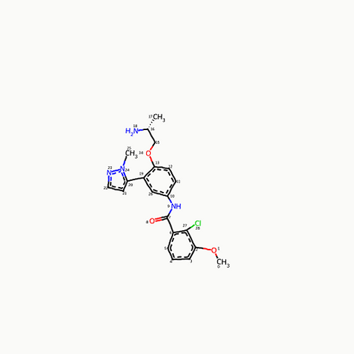 COc1cccc(C(=O)Nc2ccc(OC[C@@H](C)N)c(-c3ccnn3C)c2)c1Cl